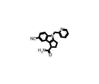 N#Cc1ccc2c(c1)c1c(n2Cc2ccccn2)C[CH]C1C(N)=O